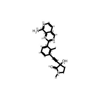 Cc1c(C#CC2(O)CCN(C)C2=O)cccc1-c1ncc2ccnc(N)c2n1